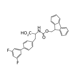 O=C(NC(Cc1ccc(-c2cc(F)cc(F)c2)cc1)C(=O)O)OCC1c2ccccc2-c2ccccc21